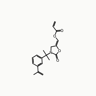 C=CC(=O)O/C=C1\CN(C(C)(C)c2cccc(C(=C)C)c2)C(=O)O1